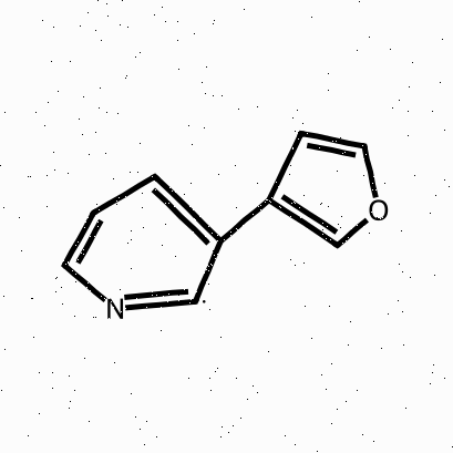 [c]1ncccc1-c1ccoc1